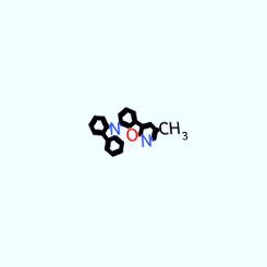 Cc1cnc2oc3c(-n4c5ccccc5c5ccccc54)cccc3c2c1